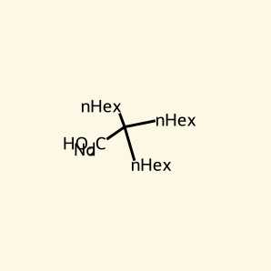 CCCCCCC(CCCCCC)(CCCCCC)C(=O)O.[Nd]